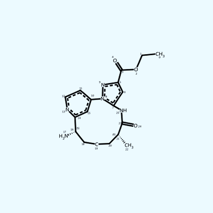 CCOC(=O)c1cc2n(n1)-c1ccnc(c1)[C@@H](N)CCC[C@@H](C)C(=O)N2